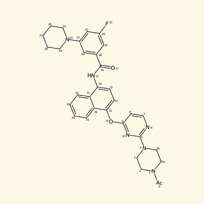 CC(=O)N1CCN(c2nccc(Oc3ccc(NC(=O)c4cc(F)cc(N5CCCCC5)c4)c4ccccc34)n2)CC1